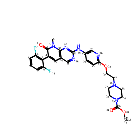 Cn1c(=O)c(-c2c(F)cccc2F)cc2cnc(Nc3ccc(OCCN4CCN(C(=O)OC(C)(C)C)CC4)nc3)nc21